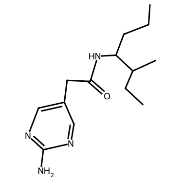 CCCC(NC(=O)Cc1cnc(N)nc1)C(C)CC